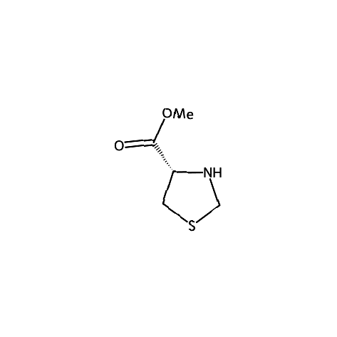 COC(=O)[C@H]1CSCN1